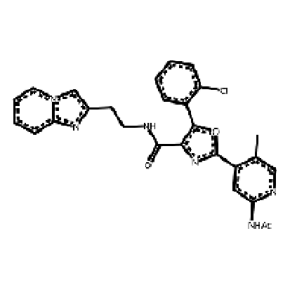 CC(=O)Nc1cc(-c2nc(C(=O)NCCc3cn4ccccc4n3)c(-c3ccccc3Cl)o2)c(C)cn1